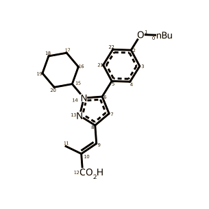 CCCCOc1ccc(-c2cc(/C=C(\C)C(=O)O)nn2C2CCCCC2)cc1